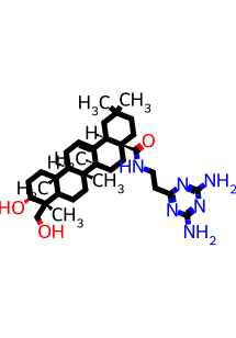 CC1(C)CC[C@]2(C(=O)NCCc3nc(N)nc(N)n3)CC[C@]3(C)C(=CC[C@@H]4[C@@]5(C)CC[C@H](O)[C@@](C)(CO)C5CC[C@]43C)[C@H]2C1